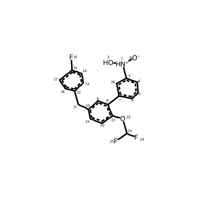 [O-][NH+](O)c1cccc(-c2cc(Cc3ccc(F)cc3)ccc2OC(F)F)c1